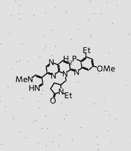 CCc1cc(OC)cc(/N=c2\ccc3ncc(/C(C=N)=C/NC)nc3n2CC2CCC(=O)N2CC)c1P